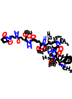 C/C(=C\[C@H](C(C)C)N(C)C(=O)[C@@H](NC(=O)[C@@H](N(C)C(=O)OC(C)(C)C)C(C)(C)c1cn(C)c2ccccc12)C(C)(C)C)C(=O)N[C@H](CCC(=O)N[C@H](CCC(=O)NCCN1C(=O)C=CC1=O)C(=O)OC(C)(C)C)C(=O)OC(C)(C)C